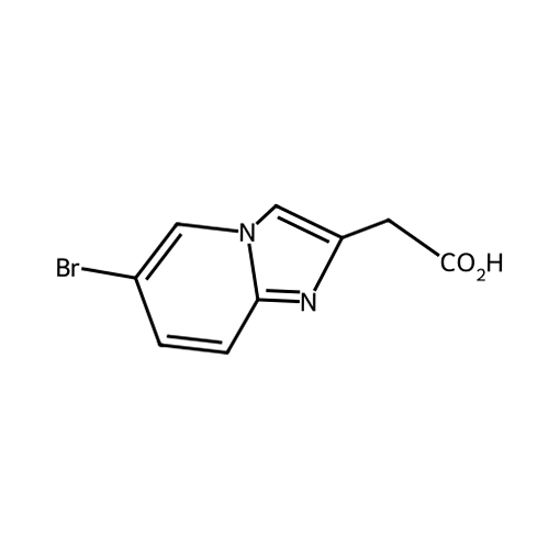 O=C(O)Cc1cn2cc(Br)ccc2n1